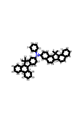 CC1(C)c2c(ccc3ccccc23)-c2ccc3cc(N(c4ccccc4)c4ccc5c(c4)C(C)(C)c4c-5c5ccccc5c5ccccc45)ccc3c21